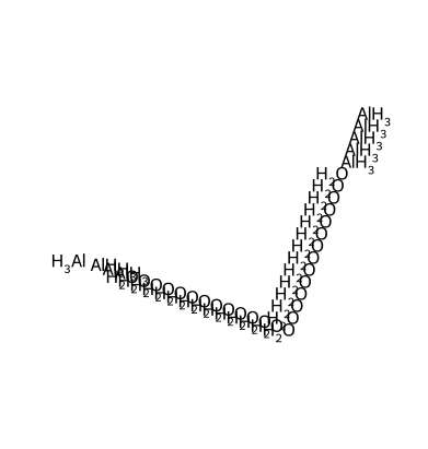 O.O.O.O.O.O.O.O.O.O.O.O.O.O.O.O.O.O.O.O.O.O.O.O.O.O.O.[AlH3].[AlH3].[AlH3].[AlH3].[AlH3].[AlH3].[AlH3].[AlH3].[AlH3]